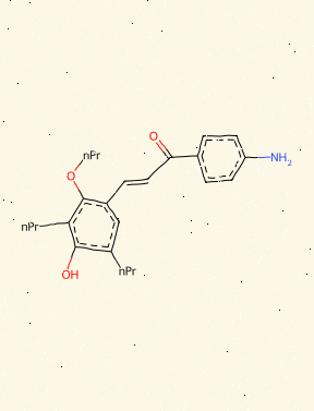 CCCOc1c(C=CC(=O)c2ccc(N)cc2)cc(CCC)c(O)c1CCC